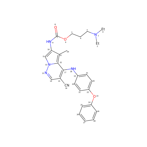 CCN(CC)CCCOC(=O)Nc1cn2ncc(C#N)c(Nc3ccc(Oc4ccccc4)cc3)c2c1C